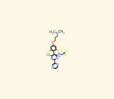 CN(C)CCCOc1cc(F)c(-c2c(Cl)nc(-c3cnccn3)nc2NCC(F)(F)F)c(F)c1